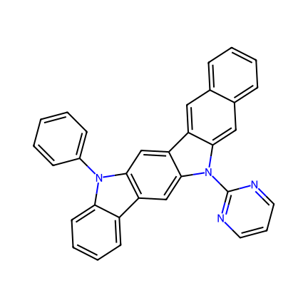 c1ccc(-n2c3ccccc3c3cc4c(cc32)c2cc3ccccc3cc2n4-c2ncccn2)cc1